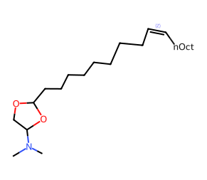 CCCCCCCC/C=C\CCCCCCCCC1OCC(N(C)C)O1